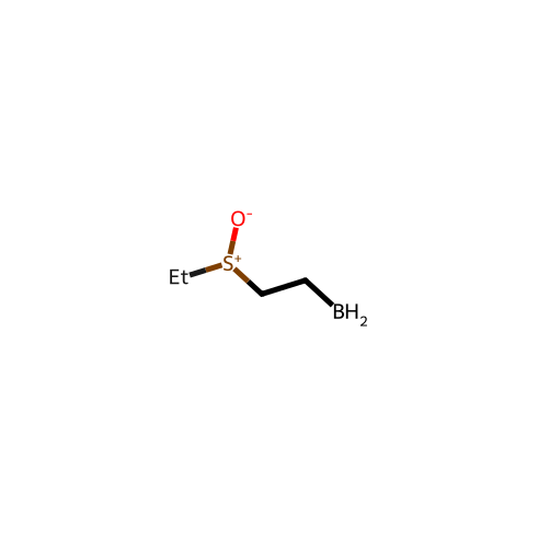 BCC[S+]([O-])CC